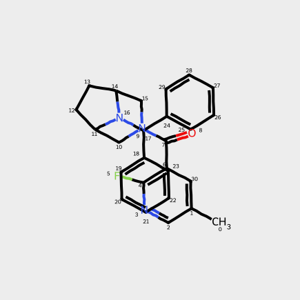 Cc1cnc(F)c(C(=O)N2CC3CCC(C2)N3C(c2ccccc2)c2ccccc2)c1